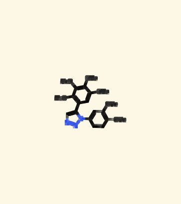 COc1ccc(-n2nncc2-c2cc(OC)c(OC)c(OC)c2OC)cc1OC